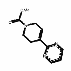 COC(=O)N1CC=C(c2ncccn2)CC1